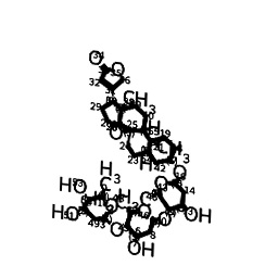 C[C@H]1O[C@@H](O[C@H]2[C@@H](O)C[C@H](O[C@H]3[C@@H](O)C[C@H](O[C@H]4CC[C@@]5(C)[C@H](CC[C@@]67O[C@@]68CC[C@H](C6=CC(=O)OC6)[C@@]8(C)CC[C@H]57)C4)O[C@@H]3C)O[C@@H]2C)C[C@H](O)[C@@H]1O